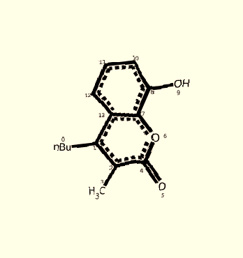 CCCCc1c(C)c(=O)oc2c(O)cccc12